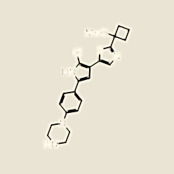 COC1(c2ncc(-c3cc(-c4ccc(N5CCNCC5)cc4)[nH]c3Cl)s2)CCC1